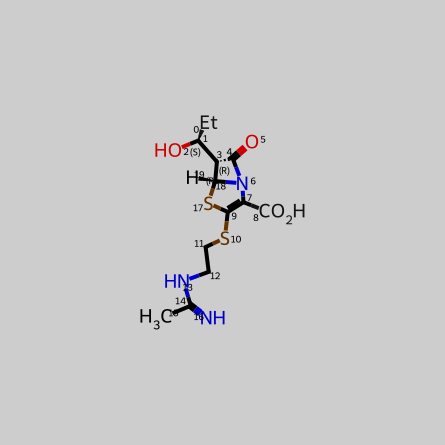 CC[C@H](O)[C@@H]1C(=O)N2C(C(=O)O)=C(SCCNC(C)=N)S[C@H]12